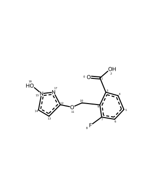 O=C(O)c1cccc(F)c1COc1ccn(O)n1